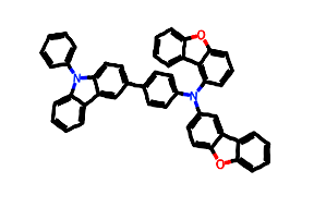 c1ccc(-n2c3ccccc3c3cc(-c4ccc(N(c5ccc6oc7ccccc7c6c5)c5cccc6oc7ccccc7c56)cc4)ccc32)cc1